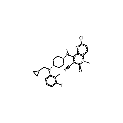 Cc1c(F)cccc1N(CC1CC1)[C@H]1CC[C@H](N(C)c2c(C#N)c(=O)n(C)c3ccc(Cl)nc23)CC1